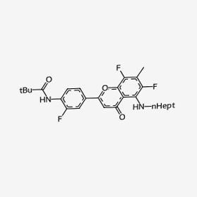 CCCCCCCNc1c(F)c(C)c(F)c2oc(-c3ccc(NC(=O)C(C)(C)C)c(F)c3)cc(=O)c12